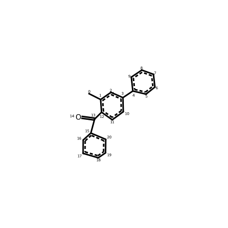 Cc1[c]c(-c2ccccc2)ccc1C(=O)c1ccccc1